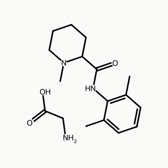 Cc1cccc(C)c1NC(=O)C1CCCCN1C.NCC(=O)O